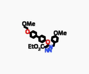 CCOC(=O)c1nnn(Cc2ccc(OC)cc2)c1Oc1ccc(-c2ccc(OCCOC)cc2)cc1